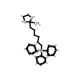 CC1(CCCCCC[PH](c2ccccc2)(c2ccccc2)c2ccccc2)OCCO1